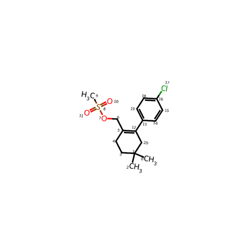 CC1(C)CCC(COS(C)(=O)=O)=C(c2ccc(Cl)cc2)C1